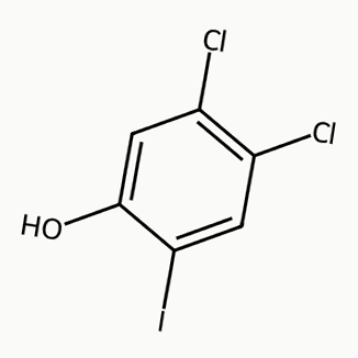 Oc1cc(Cl)c(Cl)cc1I